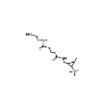 CC1C(CNC(=O)CCCC(=O)NCCO)C1[Si](C)(C)C